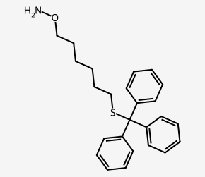 NOCCCCCCSC(c1ccccc1)(c1ccccc1)c1ccccc1